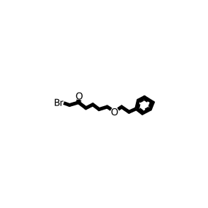 O=C(CBr)CCCCOCCc1ccccc1